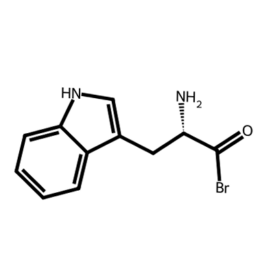 N[C@@H](Cc1c[nH]c2ccccc12)C(=O)Br